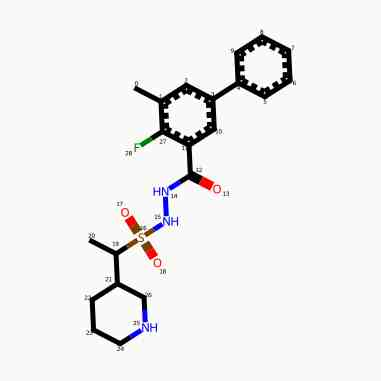 Cc1cc(-c2ccccc2)cc(C(=O)NNS(=O)(=O)C(C)C2CCCNC2)c1F